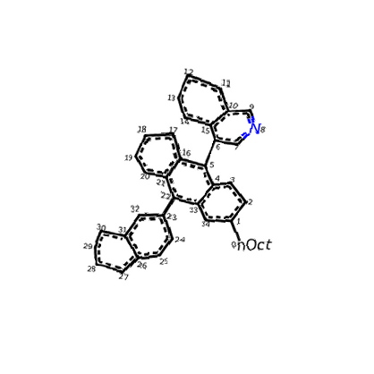 CCCCCCCCc1ccc2c(-c3cncc4ccccc34)c3ccccc3c(-c3ccc4ccccc4c3)c2c1